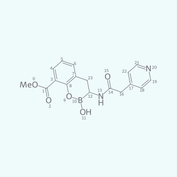 COC(=O)c1cccc2c1OB(O)C(NC(=O)Cc1ccncc1)C2